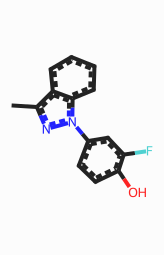 Cc1nn(-c2ccc(O)c(F)c2)c2ccccc12